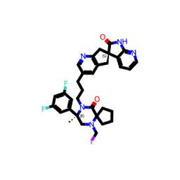 C[C@@]1(c2cc(F)cc(F)c2)CN(CI)C2(CCCC2)C(=O)N1CCCc1cnc2c(c1)C[C@@]1(C2)C(=O)Nc2ncccc21